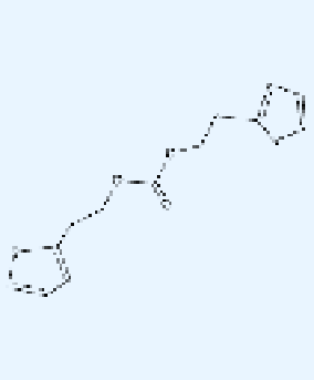 O=C(OCCc1cccs1)OCCc1cccs1